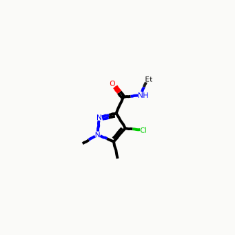 CCNC(=O)c1nn(C)c(C)c1Cl